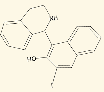 Oc1c(I)cc2ccccc2c1C1NCCc2ccccc21